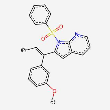 CCOc1cccc(C(=CC(C)C)c2cc3cccnc3n2S(=O)(=O)c2ccccc2)c1